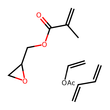 C=C(C)C(=O)OCC1CO1.C=CC=C.C=COC(C)=O